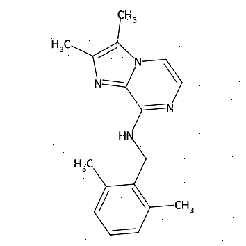 Cc1cccc(C)c1CNc1nccn2c(C)c(C)nc12